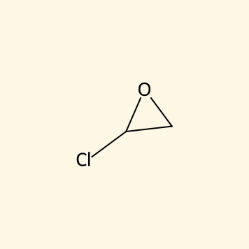 ClC1CO1